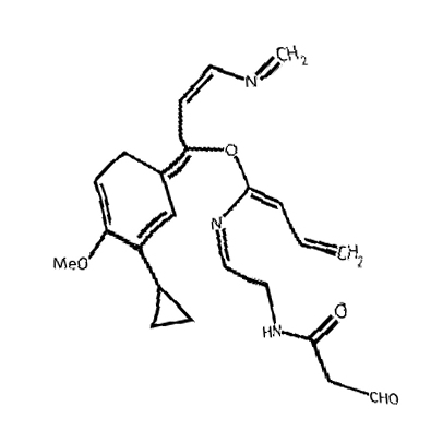 C=C/C=C(\N=C/CNC(=O)CC=O)OC(/C=C\N=C)=C1\C=C(C2CC2)C(OC)=CC1